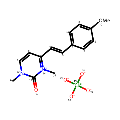 COc1ccc(C=Cc2ccn(C)c(=O)[n+]2C)cc1.[O-][Cl+3]([O-])([O-])[O-]